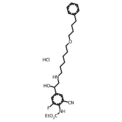 CCOC(=O)Nc1c(F)cc(C(O)CNCCCCCCOCCCCc2ccccc2)cc1C#N.Cl